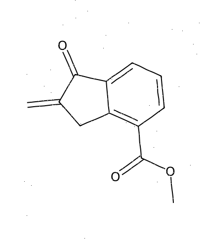 C=C1Cc2c(C(=O)OC)cccc2C1=O